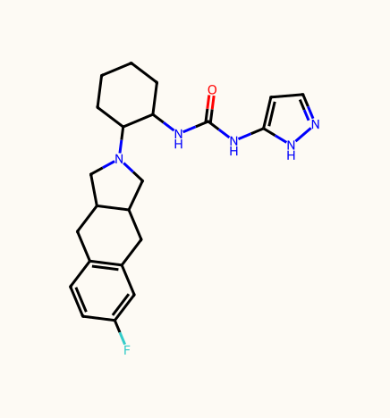 O=C(Nc1ccn[nH]1)NC1CCCCC1N1CC2Cc3ccc(F)cc3CC2C1